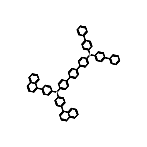 c1ccc(-c2ccc(N(c3ccc(-c4ccccc4)cc3)c3ccc(-c4ccc(-c5ccc(N(c6ccc(-c7cccc8ccccc78)cc6)c6ccc(-c7cccc8ccccc78)cc6)cc5)cc4)cc3)cc2)cc1